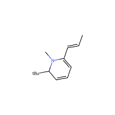 C/C=C/C1=CC=CC(C(C)(C)C)N1C